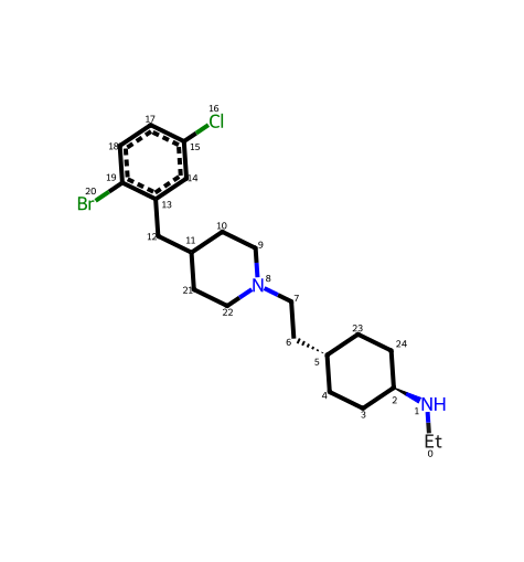 CCN[C@H]1CC[C@H](CCN2CCC(Cc3cc(Cl)ccc3Br)CC2)CC1